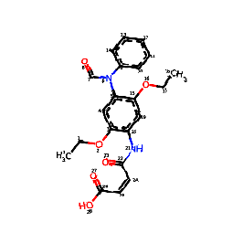 CCOc1cc(N(C=O)c2ccccc2)c(OCC)cc1NC(=O)/C=C\C(=O)O